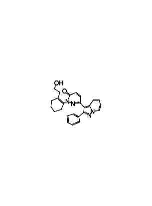 O=c1ccc(-c2c(-c3ccccc3)nn3ccccc23)nn1C1=C(CCO)CCCC1